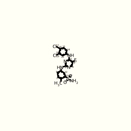 Cc1ccc(Nc2ncc(F)c(Nc3ccc(Cl)c(Cl)c3)n2)cc1S(N)(=O)=O